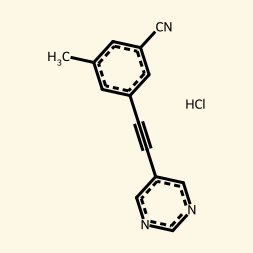 Cc1cc(C#N)cc(C#Cc2cncnc2)c1.Cl